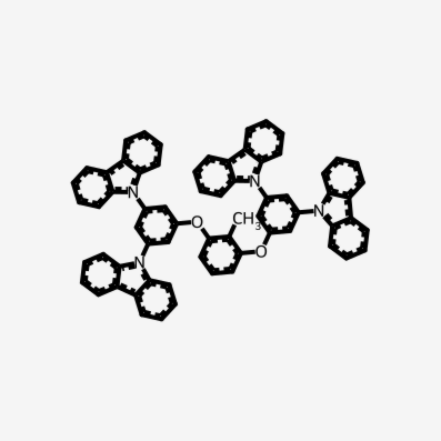 Cc1c(Oc2cc(-n3c4ccccc4c4ccccc43)cc(-n3c4ccccc4c4ccccc43)c2)cccc1Oc1cc(-n2c3ccccc3c3ccccc32)cc(-n2c3ccccc3c3ccccc32)c1